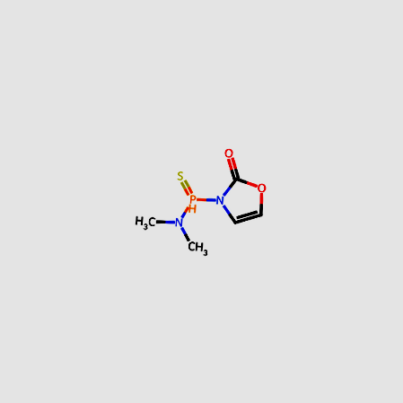 CN(C)[PH](=S)n1ccoc1=O